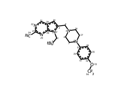 CC(C)(C)Cn1c(CN2CCN(c3ccc(OC(F)(F)F)cc3)CC2)cc2cnc(C#N)nc21